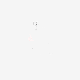 CC(=O)C1=C(C)CC2OC[C@@H]3CC3C2C1